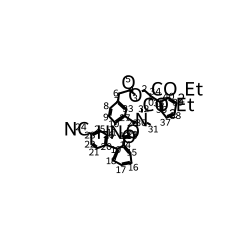 CCOC(=O)C(COC(=O)Cc1ccc(NC(=O)c2ccccc2-c2ccc(C#N)cc2)c(C(=O)N(C)C)c1)(C(=O)OCC)c1ccccc1